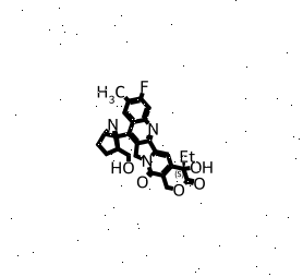 CC[C@@]1(O)C(=O)OCc2c1cc1n(c2=O)Cc2c-1nc1cc(F)c(C)cc1c2C12C3CCC1(CO)N32